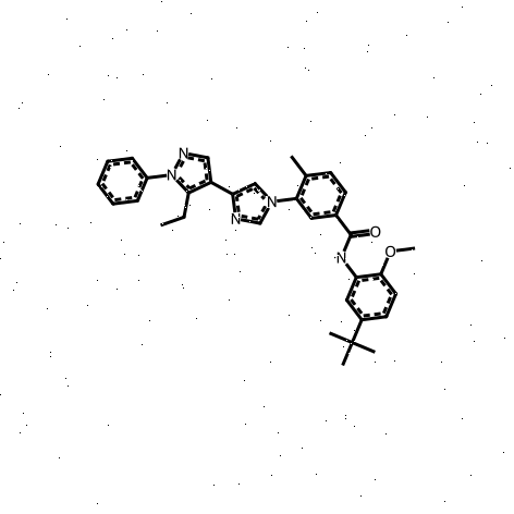 CCc1c(-c2cn(-c3cc(C(=O)[N]c4cc(C(C)(C)C)ccc4OC)ccc3C)cn2)cnn1-c1ccccc1